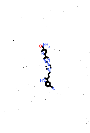 N#Cc1ccc2[nH]cc(CCCN3CCN(c4ncc(-c5ccc(C(N)=O)cn5)cn4)CC3)c2c1